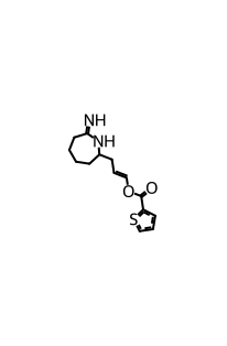 N=C1CCCCC(CC=COC(=O)c2cccs2)N1